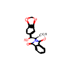 O=C(O)C(C(O)c1ccc2c(c1)OCO2)N1C(=O)c2ccccc2C1=O